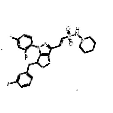 O=S(=O)(/C=C/c1nn(-c2ccc(F)cc2F)c2c1CCC2Cc1cccc(F)c1)NN1CCCCC1